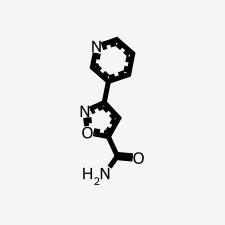 NC(=O)c1cc(-c2cccnc2)no1